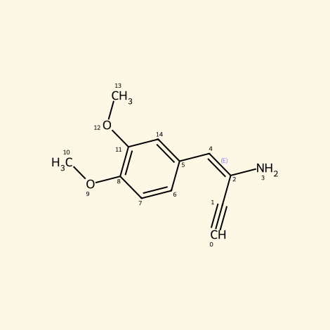 C#C/C(N)=C\c1ccc(OC)c(OC)c1